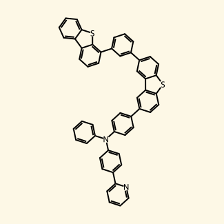 c1ccc(N(c2ccc(-c3ccc4sc5ccc(-c6cccc(-c7cccc8c7sc7ccccc78)c6)cc5c4c3)cc2)c2ccc(-c3ccccn3)cc2)cc1